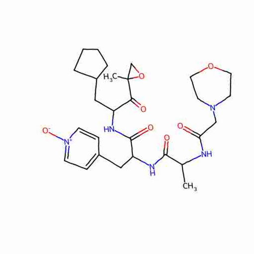 CC(NC(=O)CN1CCOCC1)C(=O)NC(Cc1cc[n+]([O-])cc1)C(=O)NC(CC1CCCC1)C(=O)C1(C)CO1